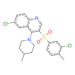 Cc1ccc(S(=O)(=O)c2cnc3ccc(Cl)cc3c2N2CCC(C)CC2)cc1Cl